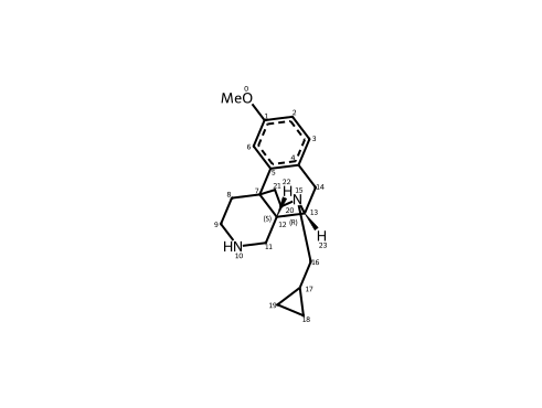 COc1ccc2c(c1)C13CCNC[C@H]1[C@@H](C2)N(CC1CC1)CC3